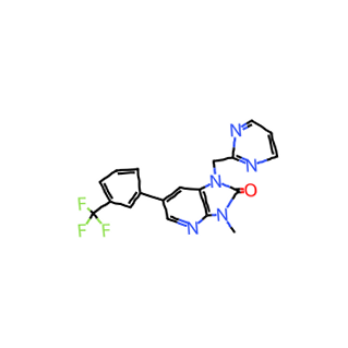 Cn1c(=O)n(Cc2ncccn2)c2cc(-c3cccc(C(F)(F)F)c3)cnc21